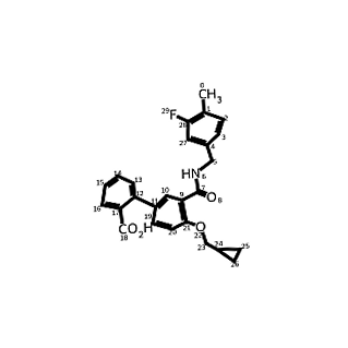 Cc1ccc(CNC(=O)c2cc(-c3ccccc3C(=O)O)ccc2OCC2CC2)cc1F